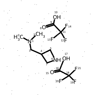 CN(C)CC1CNC1.O=C(O)C(F)(F)F.O=C(O)C(F)(F)F